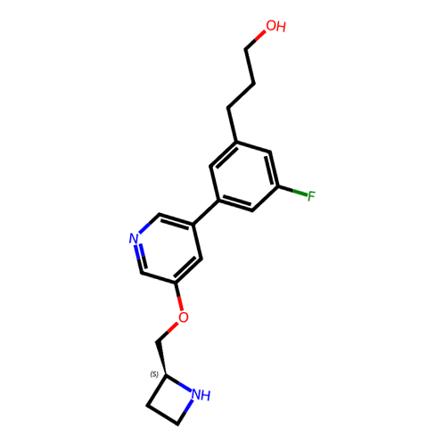 OCCCc1cc(F)cc(-c2cncc(OC[C@@H]3CCN3)c2)c1